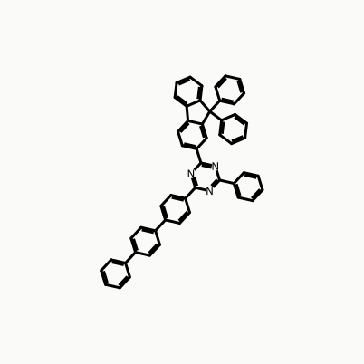 c1ccc(-c2ccc(-c3ccc(-c4nc(-c5ccccc5)nc(-c5ccc6c(c5)C(c5ccccc5)(c5ccccc5)c5ccccc5-6)n4)cc3)cc2)cc1